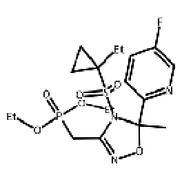 CCOP(=O)(CC1=NOC(C)(c2ccc(F)cn2)N1S(=O)(=O)C1(CC)CC1)OCC